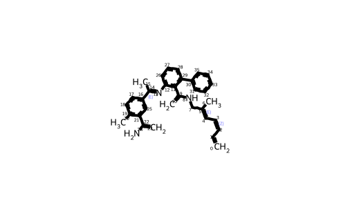 C=C/C=C\C=C(/C)CNC(=C)c1c(/N=C(\C)c2ccc(C)c(C(=C)N)c2)cccc1-c1ccccc1